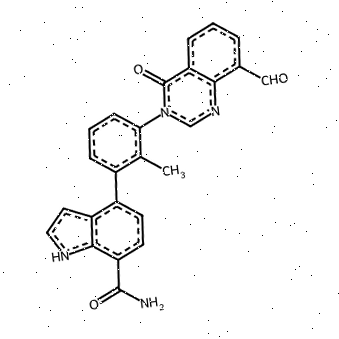 Cc1c(-c2ccc(C(N)=O)c3[nH]ccc23)cccc1-n1cnc2c(C=O)cccc2c1=O